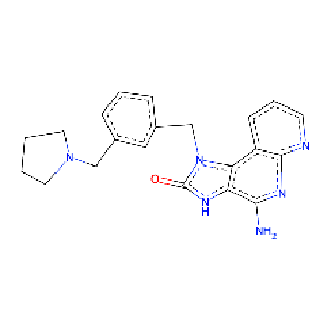 Nc1nc2ncccc2c2c1[nH]c(=O)n2Cc1cccc(CN2CCCC2)c1